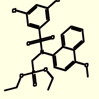 CCOP(=O)(CN(c1ccc(OC)c2ccccc12)S(=O)(=O)c1cc(Cl)cc(Cl)c1)OCC